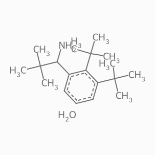 CC(C)(C)c1cccc(C(N)C(C)(C)C)c1C(C)(C)C.O